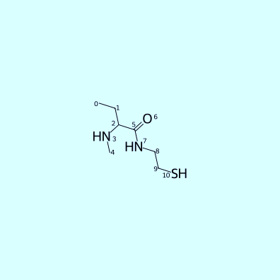 CCC(NC)C(=O)NCCS